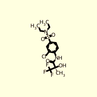 CCN(CC)S(=O)(=O)c1ccc(NC(=O)[C@@](C)(O)C(F)(F)F)c(Cl)c1